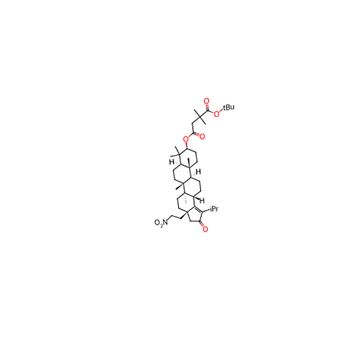 CC(C)C1=C2[C@H]3CC[C@@H]4[C@@]5(C)CC[C@H](OC(=O)CC(C)(C)C(=O)OC(C)(C)C)C(C)(C)[C@@H]5CC[C@@]4(C)[C@]3(C)CC[C@@]2(CC[N+](=O)[O-])CC1=O